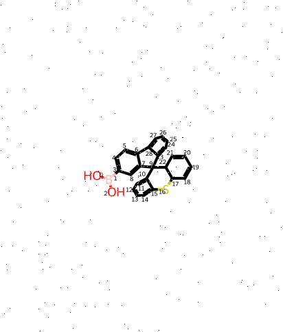 OB(O)c1ccc2c(c1)C1(c3ccccc3SC3C=CC=CC31)c1ccccc1-2